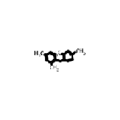 Cc1ccc([CH]c2ccc(C)cc2C)c(C)c1